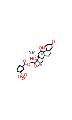 C[C@@H]1CC2C3CCC4=CC(=O)C=C[C@]4(C)[C@@]3(F)[C@@H](O)C[C@]2(C)[C@@]1(O)C(=O)COC(=O)c1cccc(S(=O)(=O)[O-])c1.[Na+]